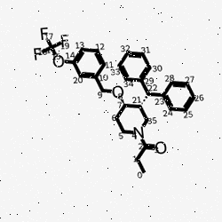 CCC(=O)N1CC[C@H](OCc2cccc(OC(F)(F)F)c2)[C@H](C(c2ccccc2)c2ccccc2)C1